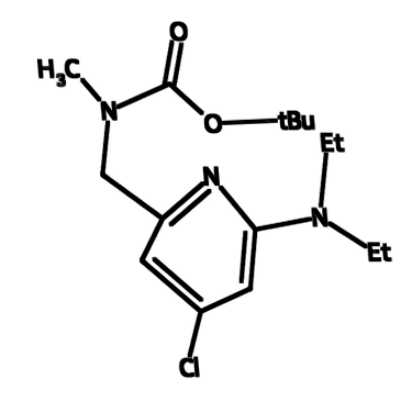 CCN(CC)c1cc(Cl)cc(CN(C)C(=O)OC(C)(C)C)n1